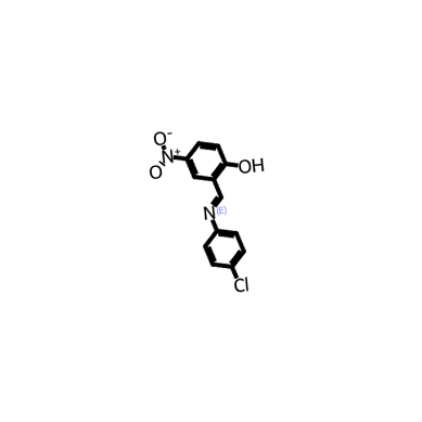 O=[N+]([O-])c1ccc(O)c(/C=N/c2ccc(Cl)cc2)c1